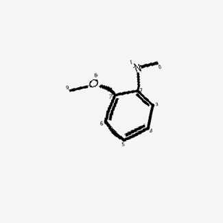 C[N]c1ccccc1OC